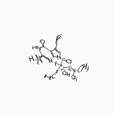 C#CC1(F)[C@@H](O)[C@@H]([C@H](C)O)O[C@H]1n1cc(F)c2c(=O)[nH]c(N)nc21